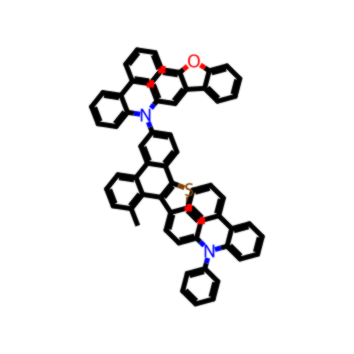 Cc1cccc2c3cc(N(c4ccc5oc6ccccc6c5c4)c4ccccc4-c4ccccc4)ccc3c3sc4cc(N(c5ccccc5)c5ccccc5-c5ccccc5)ccc4c3c12